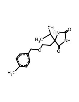 Cc1ccc(COCCC2(C(C)C)NC(=O)NC2=O)cc1